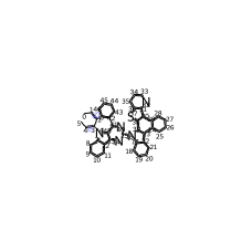 C/C=C\C(=C/C)n1c2ccccc2c2nc(-n3c4ccccc4c4c5ccccc5c5c6ncccc6sc5c43)nc(-c3ccccc3)c21